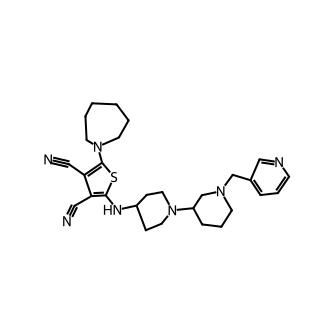 N#Cc1c(NC2CCN(C3CCCN(Cc4cccnc4)C3)CC2)sc(N2CCCCCC2)c1C#N